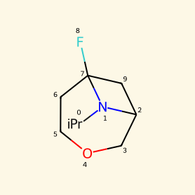 CC(C)N1C2COCCC1(F)C2